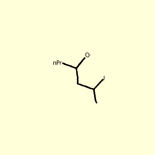 CCCC([O])CC(C)I